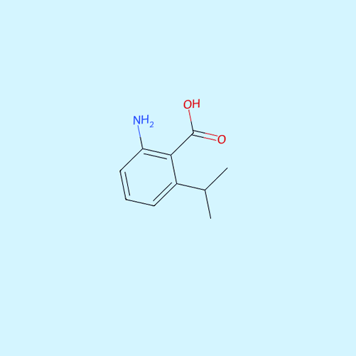 CC(C)c1cccc(N)c1C(=O)O